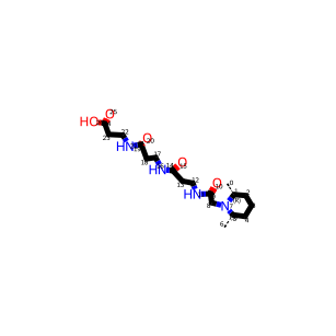 C[C@@H]1CCC[C@H](C)N1CC(=O)NCCC(=O)NCCC(=O)NCCC(=O)O